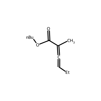 CCC=C=C(C)C(=O)OCCCC